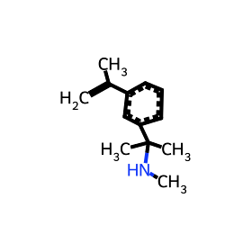 C=C(C)c1cccc(C(C)(C)NC)c1